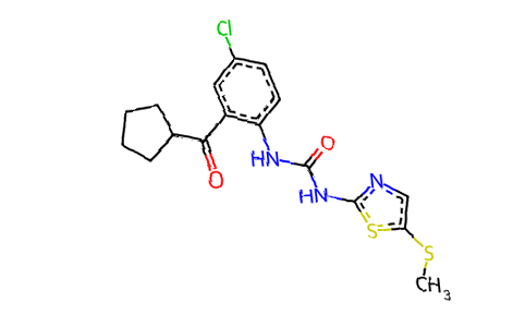 CSc1cnc(NC(=O)Nc2ccc(Cl)cc2C(=O)C2CCCC2)s1